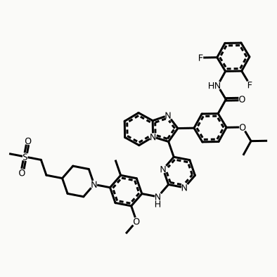 COc1cc(N2CCC(CCS(C)(=O)=O)CC2)c(C)cc1Nc1nccc(-c2c(-c3ccc(OC(C)C)c(C(=O)Nc4c(F)cccc4F)c3)nc3ccccn23)n1